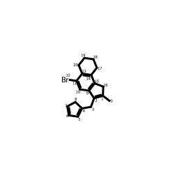 CC1=C(CC2=CC=CC2)c2cc(Br)c3c(c2C1)CCCC3